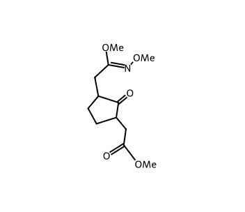 CON=C(CC1CCC(CC(=O)OC)C1=O)OC